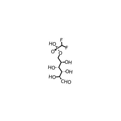 O=C[C@@H](O)[C@@H](O)[C@H](O)[C@H](O)COP(=O)(O)C(F)F